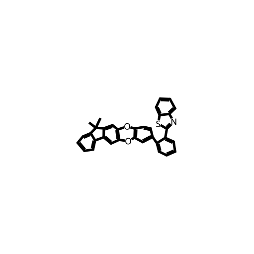 CC1(C)c2ccccc2-c2cc3c(cc21)Oc1ccc(-c2ccccc2-c2nc4ccccc4s2)cc1O3